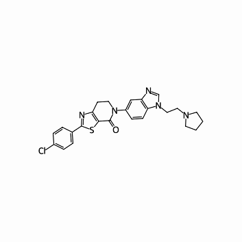 O=C1c2sc(-c3ccc(Cl)cc3)nc2CCN1c1ccc2c(c1)ncn2CCN1CCCC1